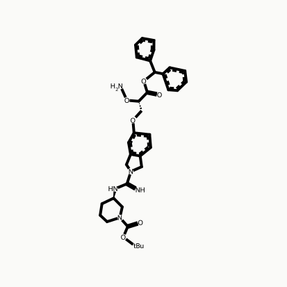 CC(C)(C)OC(=O)N1CCC[C@@H](NC(=N)N2Cc3ccc(OC[C@H](ON)C(=O)OC(c4ccccc4)c4ccccc4)cc3C2)C1